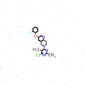 Cc1nc(Cl)c(C)c(N2CCc3ncc(Oc4ccccc4F)cc3C2)n1